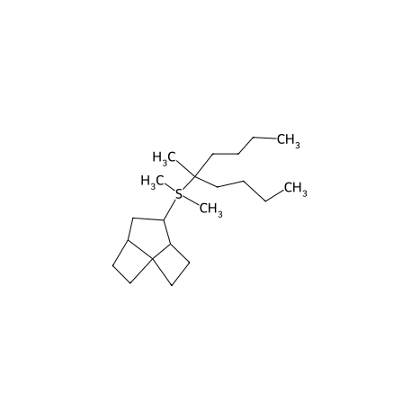 CCCCC(C)(CCCC)S(C)(C)C1CC2CCC23CCC13